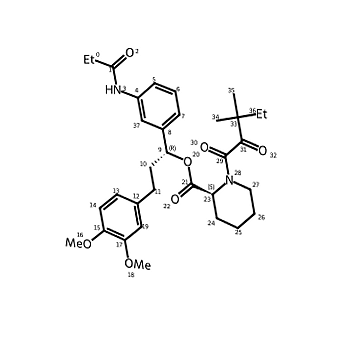 CCC(=O)Nc1cccc([C@@H](CCc2ccc(OC)c(OC)c2)OC(=O)[C@@H]2CCCCN2C(=O)C(=O)C(C)(C)CC)c1